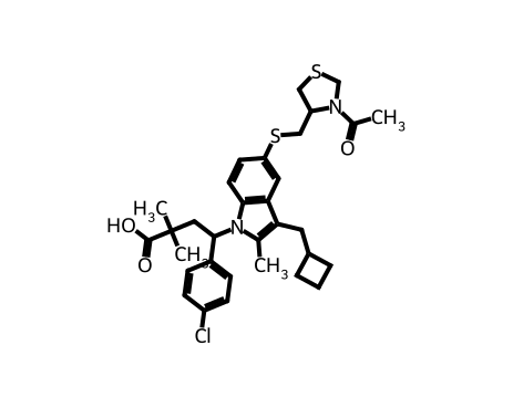 CC(=O)N1CSCC1CSc1ccc2c(c1)c(CC1CCC1)c(C)n2C(CC(C)(C)C(=O)O)c1ccc(Cl)cc1